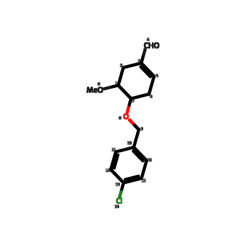 COC1CC(C=O)=CCC1OCc1ccc(Cl)cc1